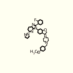 COc1ccc(CN2CCN([C@H]3COc4cc(-n5c(-c6ccccc6F)nc6ccc(-n7cccn7)nc65)ccc43)CC2)cc1